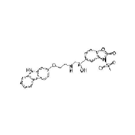 CS(=O)(=O)n1c(=O)oc2ccc([C@@H](O)CNCCOc3ccc4c(c3)[nH]c3ccccc34)cc21